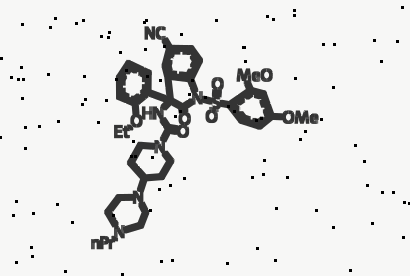 CCCN1CCN(C2CCN(C(=O)NC3(c4ccccc4OCC)C(=O)N(S(=O)(=O)c4ccc(OC)cc4OC)c4ccc(C#N)cc43)CC2)CC1